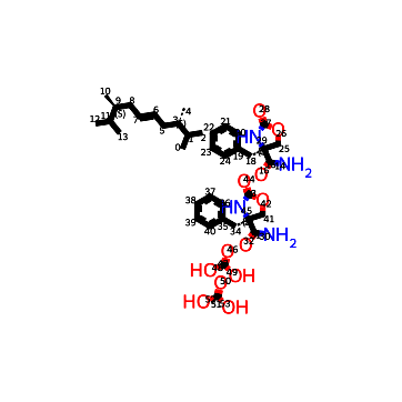 CC(C)[C@@H](C)CC=CC[C@H](C)C(C)C.NC(=O)[C@]1(Cc2ccccc2)COC(=O)N1.NC(=O)[C@]1(Cc2ccccc2)COC(=O)N1.O=C(O)O.O=C(O)O